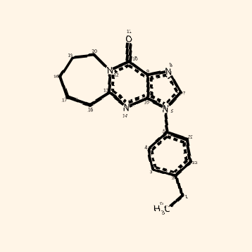 CCc1ccc(-n2cnc3c(=O)n4c(nc32)CCCCC4)cc1